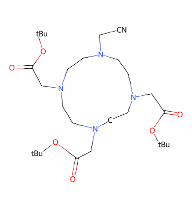 CC(C)(C)OC(=O)CN1CCN(CC#N)CCN(CC(=O)OC(C)(C)C)CCN(CC(=O)OC(C)(C)C)CC1